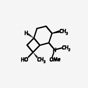 CON(C)C1C2[C@H](CC[C@H]1C)C[C@]2(C)O